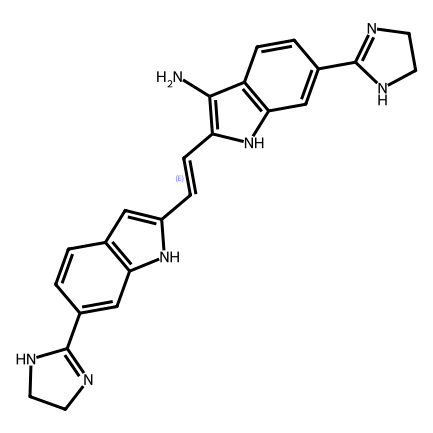 Nc1c(/C=C/c2cc3ccc(C4=NCCN4)cc3[nH]2)[nH]c2cc(C3=NCCN3)ccc12